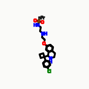 CCCS(=O)(=O)NCCNCCOc1ccc2c(c1)C(C1(c3ccc(Cl)cc3)CCC1)NCC2